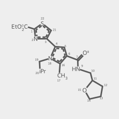 CCOC(=O)c1nc(-c2cc(C(=O)NCC3CCCO3)c(C)n2CC(C)C)cs1